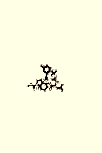 COC(=O)N1CC[C@@H]2[C@H]1CCC[C@]2(C#Cc1cccc(C)c1)OC(=O)[C@H](CC(C)C)NC(=O)OC(C)(C)C